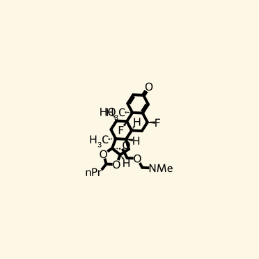 CCCC1O[C@@H]2C[C@H]3[C@@H]4C[C@H](F)C5=CC(=O)C=C[C@]5(C)[C@@]4(F)[C@@H](O)C[C@]3(C)[C@]2(C(=O)COCNC)O1